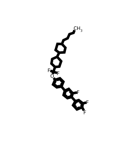 CCCCCC1CCC(C2CCC(C(F)(F)Oc3ccc(-c4ccc(-c5ccc(F)c(F)c5)c(F)c4)cc3)CC2)CC1